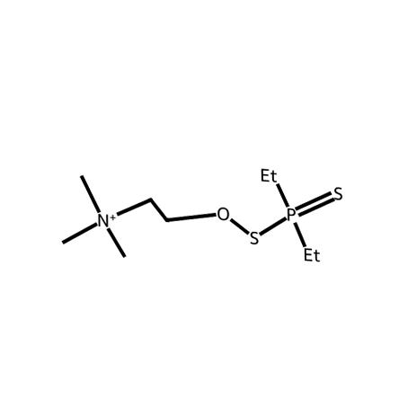 CCP(=S)(CC)SOCC[N+](C)(C)C